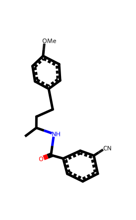 COc1ccc(CCC(C)NC(=O)c2cccc(C#N)c2)cc1